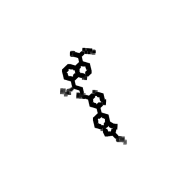 CNC(=O)c1ccnc2c([C@@H](C)CNc3cc(-c4ccn5cc(C)nc5c4)ncn3)cccc12